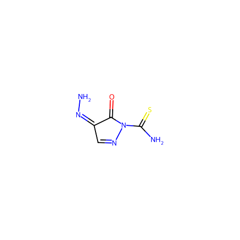 NN=C1C=NN(C(N)=S)C1=O